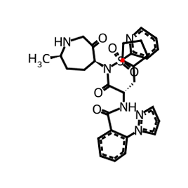 C[C@@H]1CC[C@H](N(C(=O)[C@H](CC2CCCC2)NC(=O)c2ccccc2-n2cccn2)S(=O)(=O)c2ccccn2)C(=O)CN1